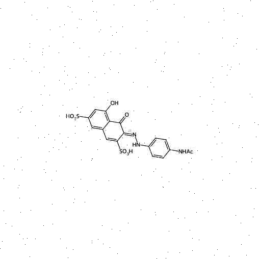 CC(=O)Nc1ccc(N/N=C2/C(=O)c3c(O)cc(S(=O)(=O)O)cc3C=C2S(=O)(=O)O)cc1